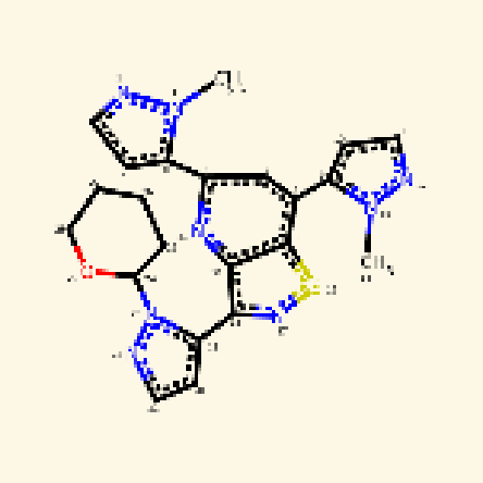 Cn1nccc1-c1cc(-c2ccnn2C)c2snc(-c3ccnn3C3CCCCO3)c2n1